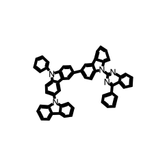 c1ccc(-c2nc(-n3c4ccccc4c4cc(-c5ccc6c(c5)c5cc(-n7c8ccccc8c8ccccc87)ccc5n6-c5ccccc5)ccc43)nc3ccccc23)cc1